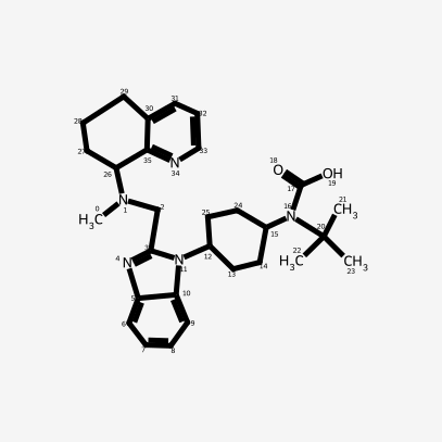 CN(Cc1nc2ccccc2n1C1CCC(N(C(=O)O)C(C)(C)C)CC1)C1CCCc2cccnc21